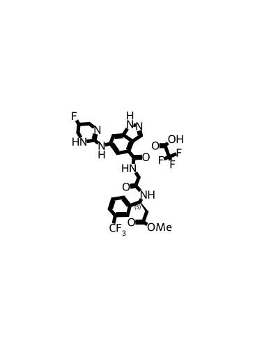 COC(=O)C[C@H](NC(=O)CNC(=O)c1cc(NC2=NCC(F)CN2)cc2[nH]ncc12)c1cccc(C(F)(F)F)c1.O=C(O)C(F)(F)F